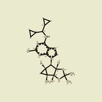 [CH2][C@@]12C[C@@H]1[C@@H](n1cnc3c(NC(C4CC4)C4CC4)nc(Cl)nc31)[C@@H]1OC(C)(C)O[C@@H]12